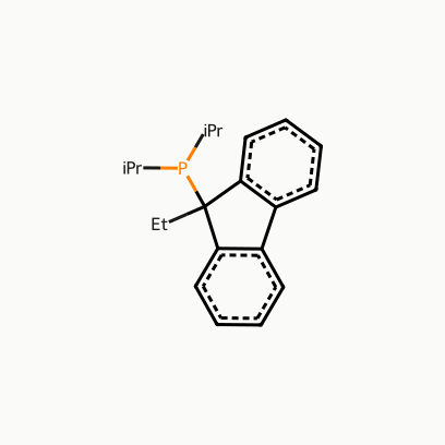 CCC1(P(C(C)C)C(C)C)c2ccccc2-c2ccccc21